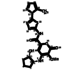 COc1c(N[C@@H]2CCC[C@@H]2O)cc(C(=O)Nc2nnc(-n3nccc3C)s2)oc1=O